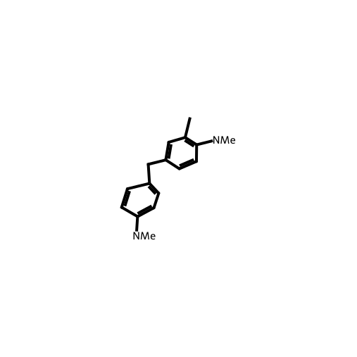 CNc1ccc(Cc2ccc(NC)c(C)c2)cc1